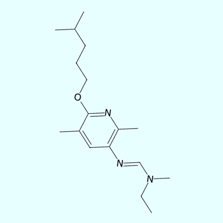 CCN(C)/C=N/c1cc(C)c(OCCCC(C)C)nc1C